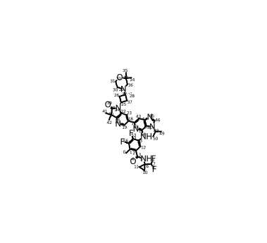 Cc1c(C(=O)NC2(C(F)F)CC2)cc(Nc2nc(-c3cnc4c(c3)N([C@H]3C[C@@](C)(N5CCOC(C)(C)C5)C3)C(=O)C4(C)C)cc3ncn(C(C)C)c23)c(F)c1F